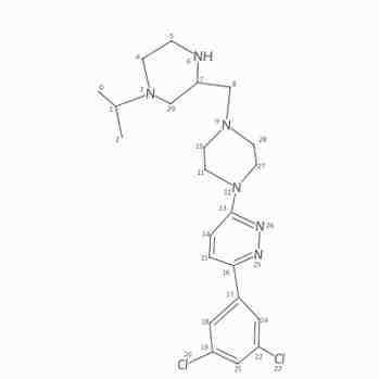 CC(C)N1CCNC(CN2CCN(c3ccc(-c4cc(Cl)cc(Cl)c4)nn3)CC2)C1